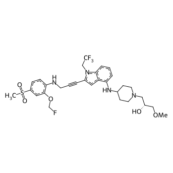 COC[C@H](O)CN1CCC(Nc2cccc3c2cc(C#CCNc2ccc(S(C)(=O)=O)cc2OCF)n3CC(F)(F)F)CC1